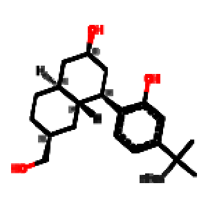 CCCCCCC(C)(C)c1ccc([C@@H]2C[C@H](O)C[C@@H]3CC[C@H](CO)C[C@H]32)c(O)c1